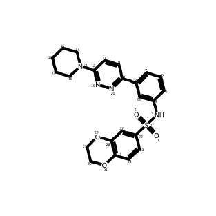 O=S(=O)(Nc1cccc(-c2ccc(N3CCCCC3)nn2)c1)c1ccc2c(c1)OCCO2